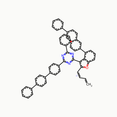 C=C/C=C\c1oc2cccc(-c3ccc4cc(-c5ccccc5)ccc4c3)c2c1-c1nc(-c2ccccc2)nc(-c2ccc(-c3ccc(-c4ccccc4)cc3)cc2)n1